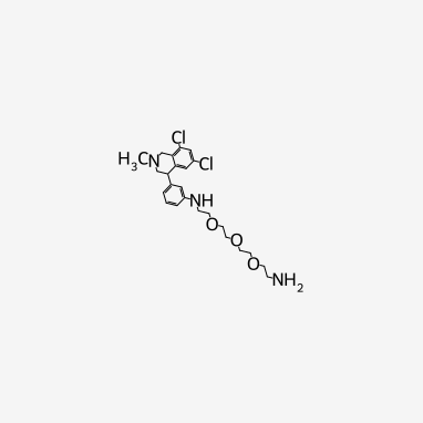 CN1Cc2c(Cl)cc(Cl)cc2C(c2cccc(NCCOCCOCCOCCN)c2)C1